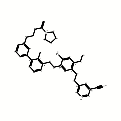 C=C(CCCc1cccc(-c2cccc(CCc3cc(CCc4cncc(C#N)c4)c(CC)cc3Cl)c2C)c1)N1CCCC1